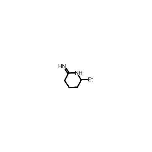 CCC1CCCC(=N)N1